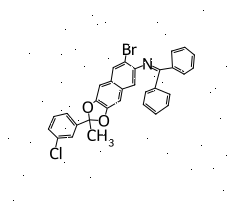 CC1(c2cccc(Cl)c2)Oc2cc3cc(Br)c(N=C(c4ccccc4)c4ccccc4)cc3cc2O1